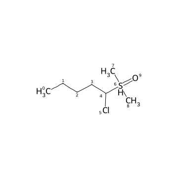 CCCCC(Cl)[SH](C)(C)=O